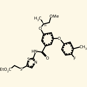 CCOC(=O)CSc1cnc(NC(=O)c2cc(Oc3ccc(F)c(C)c3)cc(O[C@@H](C)COC)c2)s1